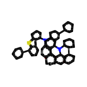 c1ccc(-c2ccc(N(c3cccc(-c4ccccc4N(c4ccccc4-c4ccccc4)c4ccccc4-c4ccccc4)c3)c3cccc4sc5c(-c6ccccc6)cccc5c34)cc2)cc1